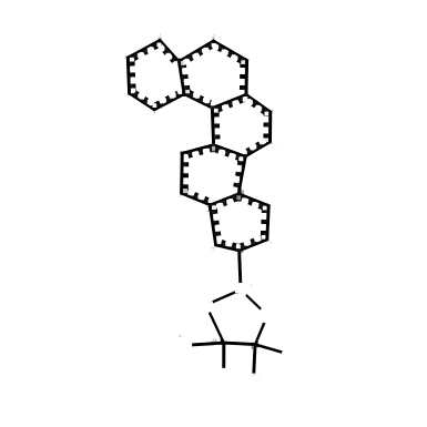 CC1(C)OB(c2ccc3c(ccc4c3ccc3ccc5ccccc5c34)c2)OC1(C)C